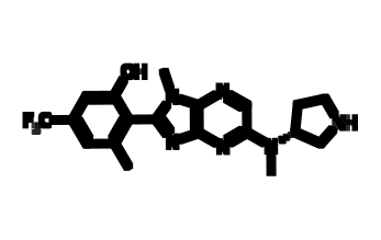 Cc1cc(C(F)(F)F)cc(O)c1-c1nc2nc(N(C)[C@@H]3CCNC3)cnc2n1C